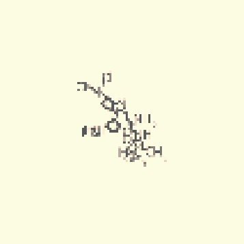 CCOC(=O)[C@H](CC(C)C)NC(=O)[C@@H](N)CCc1nc2cc(N(CCCl)CCCl)ccc2n1-c1ccccc1.Cl.Cl